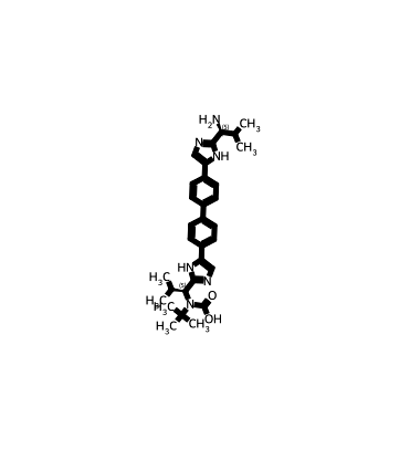 CC(C)[C@H](N)c1ncc(-c2ccc(-c3ccc(-c4cnc([C@H](C(C)C)N(C(=O)O)C(C)(C)C)[nH]4)cc3)cc2)[nH]1